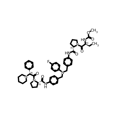 CC[C@H](NC(=O)OC)C(=O)N1CCC[C@H]1C(=O)Nc1ccc(CN(Cc2ccc(NC(=O)[C@@H]3CCCN3C(=O)[C@@H](c3ccccc3)N3CCCCC3)cc2)c2ccc(F)cc2)cc1